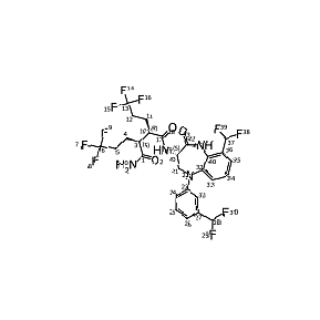 NC(=O)[C@@H](CCC(F)(F)F)[C@@H](CCC(F)(F)F)C(=O)N[C@H]1CN(c2cccc(C(F)F)c2)c2cccc(C(F)F)c2NC1=O